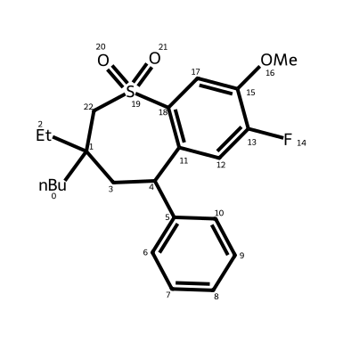 CCCCC1(CC)CC(c2ccccc2)c2cc(F)c(OC)cc2S(=O)(=O)C1